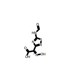 O=CNc1nc(/C(=N\O)C(=O)O)ns1